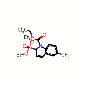 CCOP(=O)(OCC)C1C=Cc2cc(C(F)(F)F)ccc2N1C(=O)OCC(Cl)(Cl)Cl